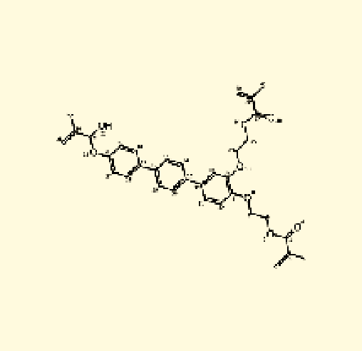 C=C(C)C(=O)OCCOc1ccc(-c2ccc(-c3ccc(OC(O)C(=C)C)cc3)cc2)cc1OCCOC(=O)C(=C)C